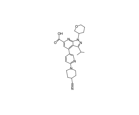 CC(C)c1nn(C2CCCOC2)c2nc(C(=O)O)cc(-c3ccc(N4CCC(C#N)CC4)nc3)c12